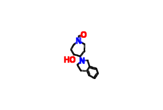 O=CN1CC[C@@H](O)[C@H](N2CCc3ccccc3C2)CC1